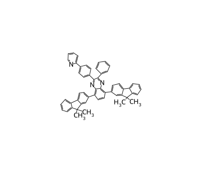 CC1(C)c2ccccc2-c2ccc(-c3ccc(-c4ccc5c(c4)C(C)(C)c4ccccc4-5)c4nc(-c5ccc(-c6ccccn6)cc5)c(-c5ccccc5)nc34)cc21